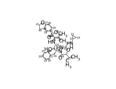 CC(C)CC(=O)N(NC(=O)CNC1CC1)[C@@H](Cc1ccccc1)[C@H](O)CNC(C(C)C)S(=O)(=O)c1ccc2c(c1)CCO2